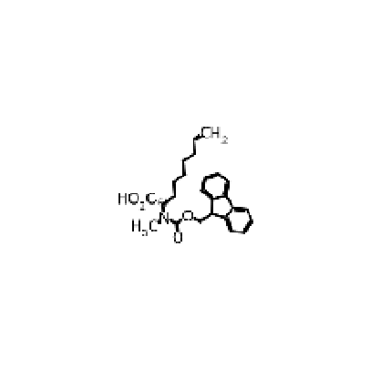 C=CCCCCC[C@@H](C(=O)O)N(C)C(=O)OCC1c2ccccc2-c2ccccc21